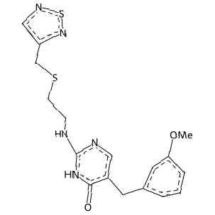 COc1cccc(Cc2cnc(NCCSCc3cnsn3)[nH]c2=O)c1